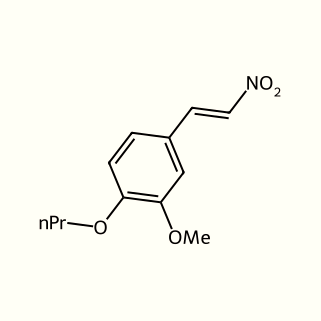 CCCOc1ccc(C=C[N+](=O)[O-])cc1OC